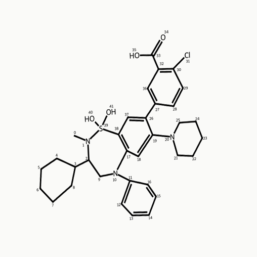 CN1C(C2CCCCC2)CN(c2ccccc2)c2cc(N3CCCCC3)c(-c3ccc(Cl)c(C(=O)O)c3)cc2S1(O)O